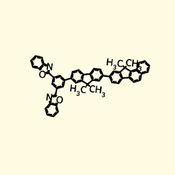 CC1(C)c2cc(-c3cc(-c4nc5ccccc5o4)cc(-c4nc5ccccc5o4)c3)ccc2-c2ccc(-c3ccc4c(c3)C(C)(C)c3c-4ccc4ccccc34)cc21